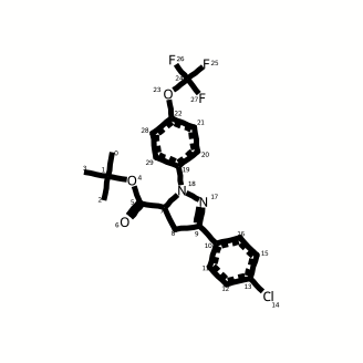 CC(C)(C)OC(=O)C1CC(c2ccc(Cl)cc2)=NN1c1ccc(OC(F)(F)F)cc1